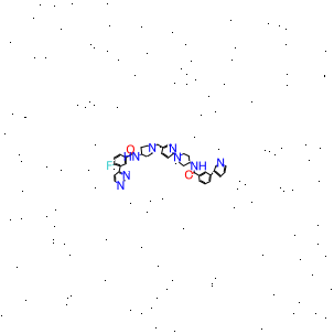 O=C(NC1CCN(Cc2ccc(N3CCC(NC(=O)c4cccc(-c5cccnc5)c4)CC3)nc2)CC1)c1ccc(F)c(-c2ccncn2)c1